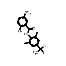 Cc1cc(C(F)(C(F)(F)F)C(F)(F)F)cc(C)c1NC(=O)c1cc([N+](=O)[O-])ccc1C#N